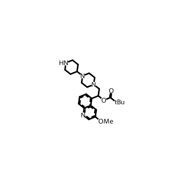 COc1cnc2cccc(C(CN3CCN(C4CCNCC4)CC3)OC(=O)C(C)(C)C)c2c1